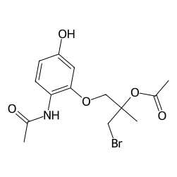 CC(=O)Nc1ccc(O)cc1OCC(C)(CBr)OC(C)=O